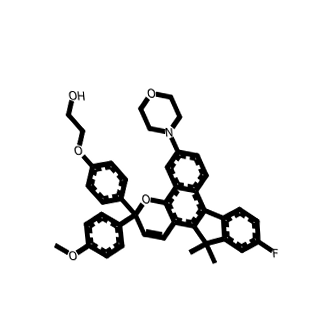 COc1ccc(C2(c3ccc(OCCO)cc3)C=Cc3c4c(c5ccc(N6CCOCC6)cc5c3O2)-c2ccc(F)cc2C4(C)C)cc1